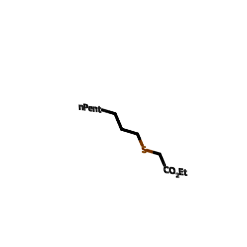 CCCCCCCCSCC(=O)OCC